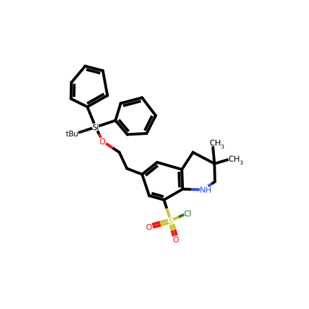 CC1(C)CNc2c(cc(CCO[Si](c3ccccc3)(c3ccccc3)C(C)(C)C)cc2S(=O)(=O)Cl)C1